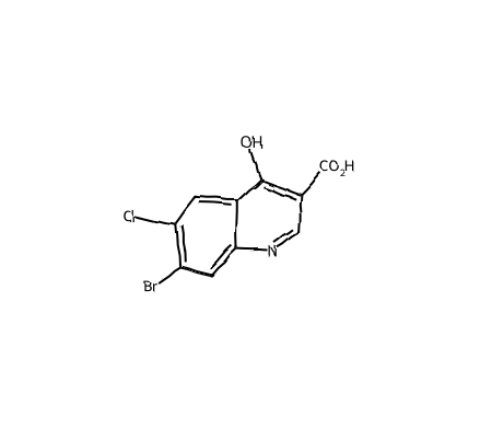 O=C(O)c1cnc2cc(Br)c(Cl)cc2c1O